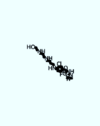 O=S(=O)(Nc1ncns1)c1cc(Cl)c(NCCCCNCCCNCCO)cc1F